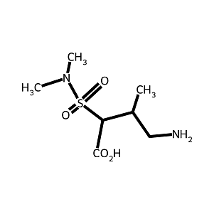 CC(CN)C(C(=O)O)S(=O)(=O)N(C)C